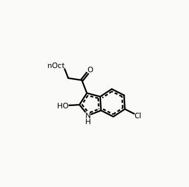 CCCCCCCCCC(=O)c1c(O)[nH]c2cc(Cl)ccc12